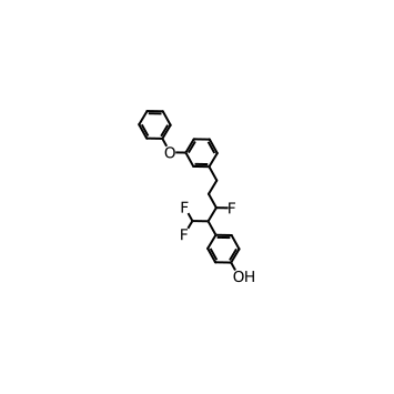 Oc1ccc(C(C(F)F)C(F)CCc2cccc(Oc3ccccc3)c2)cc1